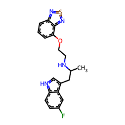 CC(Cc1c[nH]c2ccc(F)cc12)NCCOc1cccc2nsnc12